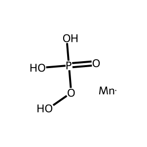 O=P(O)(O)OO.[Mn]